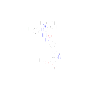 COc1cc2ncnc(Sc3cccc(NC(=O)Nc4cc(C(C)(C)C)nn4-c4ccc(C(F)(F)F)cc4)c3)c2cc1OC